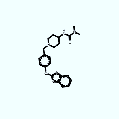 CN(C)C(=O)NC1CCN(Cc2ccc(Oc3nc4ccccc4s3)cc2)CC1